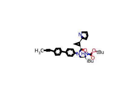 CC#Cc1ccc(-c2ccc(N(C[C@@H](NC(=O)OC(C)(C)C)[C@@H](C)CC)C(=O)[C@@H]3C[C@H]3c3ccccn3)cc2)cc1